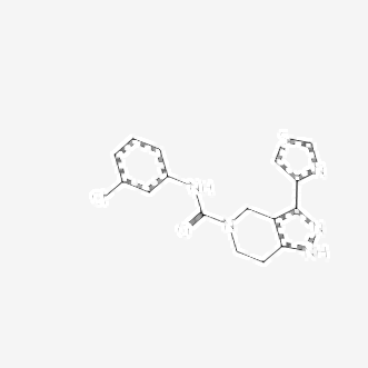 O=C(Nc1cccc(Cl)c1)N1CCc2[nH]nc(-c3cscn3)c2C1